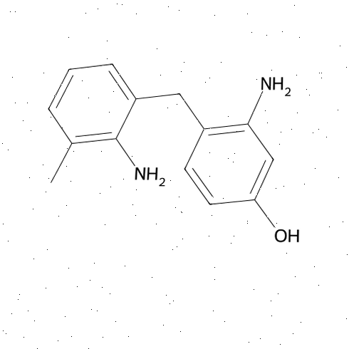 Cc1cccc(Cc2ccc(O)cc2N)c1N